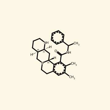 Cc1cc2c(c(C(=O)NC(C)c3ccccc3)c1C)[C@H]1C[C@@H]3NCCC[C@@H]3CN1CC2